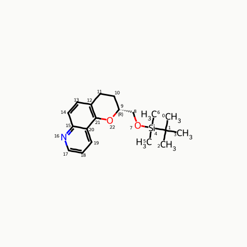 CC(C)(C)[Si](C)(C)OC[C@H]1CCc2ccc3ncccc3c2O1